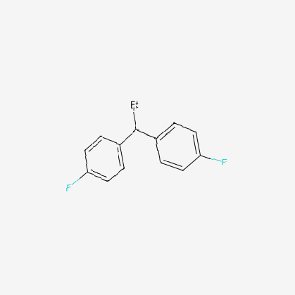 [CH2]CC(c1ccc(F)cc1)c1ccc(F)cc1